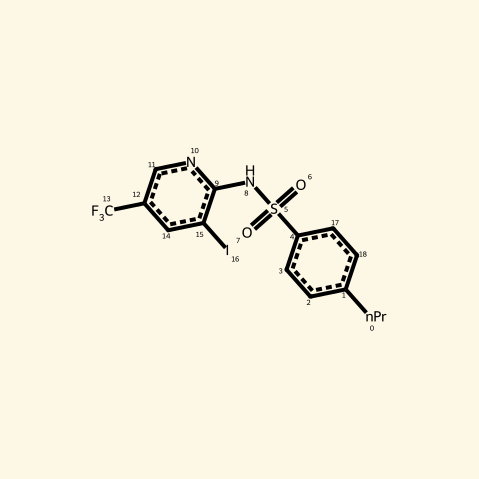 CCCc1ccc(S(=O)(=O)Nc2ncc(C(F)(F)F)cc2I)cc1